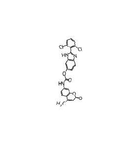 Cc1cc(=O)oc2cc(NC(=O)Oc3ccc4nc(-c5c(Cl)cccc5Cl)[nH]c4c3)ccc12